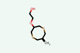 C=C1CSCC(OCCO)CSC1